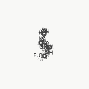 COc1ccc2nc(N3CC[C@@H]4OCC[C@@H]4C3)sc2c1C(=O)N[C@@H]1[C@H]2CC[C@H](C2)[C@@H]1C(=O)Nc1ccc(F)c(C(F)(F)F)c1